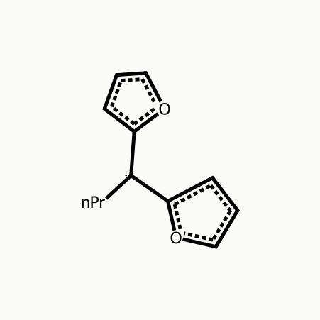 CCC[C](c1ccco1)c1ccco1